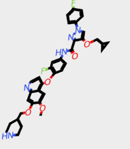 COc1cc2c(Oc3ccc(NC(=O)c4nn(-c5ccc(F)cc5)cc4OCC4CC4)cc3F)ccnc2cc1OCC1CCNCC1